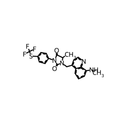 CNc1cccc2c(CN3C(=O)N(c4ccc(SC(F)(F)F)cc4)C(=O)C3C)ccnc12